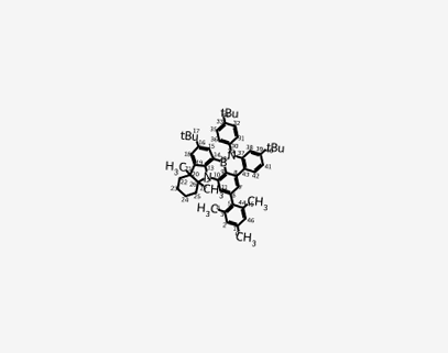 Cc1cc(C)c(-c2cc3c4c(c2)N2c5c(cc(C(C)(C)C)cc5C5(C)CCCCC25C)B4N(c2ccc(C(C)(C)C)cc2)c2cc(C(C)(C)C)ccc2-3)c(C)c1